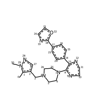 Cc1c(CN2CCN(c3nccnc3-c3ccc(-c4ncco4)cc3)CC2)cnn1C